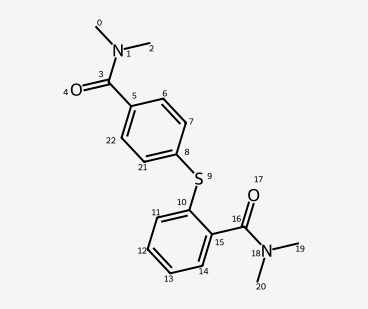 CN(C)C(=O)c1ccc(Sc2ccccc2C(=O)N(C)C)cc1